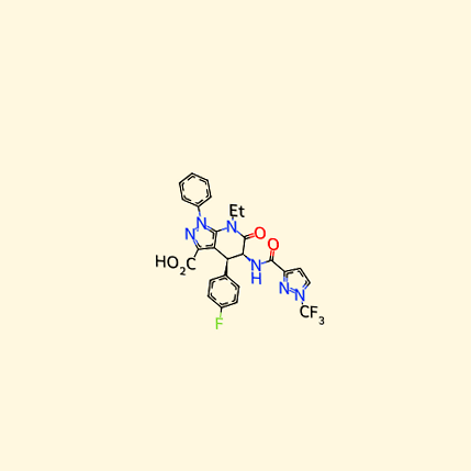 CCN1C(=O)[C@@H](NC(=O)c2ccn(C(F)(F)F)n2)[C@@H](c2ccc(F)cc2)c2c(C(=O)O)nn(-c3ccccc3)c21